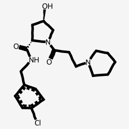 O=C(NCc1ccc(Cl)cc1)[C@@H]1C[C@@H](O)CN1C(=O)CCN1CCCCC1